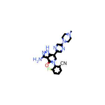 CN1CCN(c2cnc(-c3cn(-c4c(F)cccc4C#N)c(=O)c4c(N)n[nH]c34)cn2)CC1